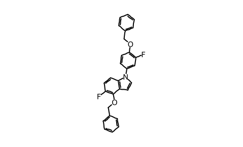 Fc1cc(-n2ccc3c(OCc4ccccc4)c(F)ccc32)ccc1OCc1ccccc1